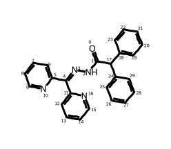 O=C(NN=C(c1ccccn1)c1ccccn1)C(c1ccccc1)c1ccccc1